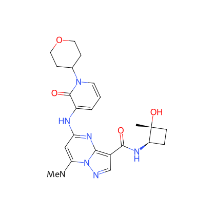 CNc1cc(Nc2cccn(C3CCOCC3)c2=O)nc2c(C(=O)N[C@@H]3CC[C@@]3(C)O)cnn12